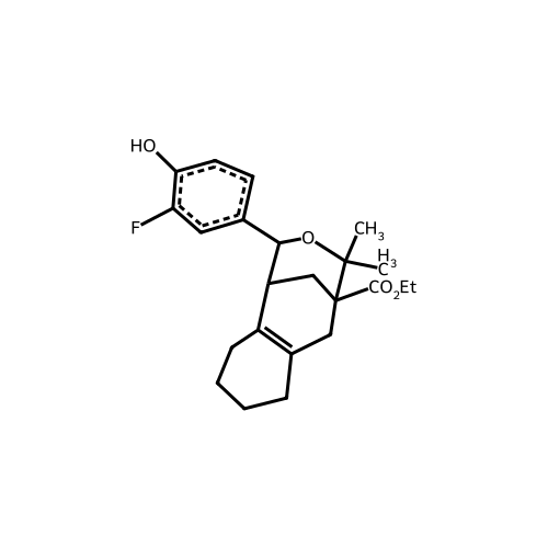 CCOC(=O)C12CC3=C(CCCC3)C(C1)C(c1ccc(O)c(F)c1)OC2(C)C